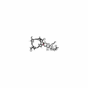 CCCCOC(=O)[C@H](CC(=O)N[N+](C)(C)OC(C)=O)NC(=O)CC[C@@H]1c2nc(cc3[nH]c(cc4nc(cc5[nH]c6c(c5C)C(=O)C(C(=O)OC)c26)[C@H](CC)[C@H]4C)c(C(C)=O)c3C)[C@H]1C